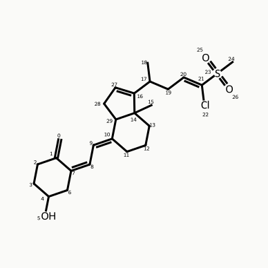 C=C1CCC(O)C/C1=C/C=C1\CCCC2(C)C(C(C)C/C=C(\Cl)S(C)(=O)=O)=CCC12